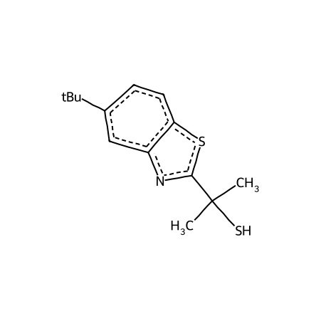 CC(C)(C)c1ccc2sc(C(C)(C)S)nc2c1